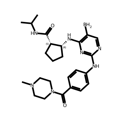 Bc1cnc(Nc2ccc(C(=O)N3CCN(C)CC3)cc2)nc1N[C@@H]1CCC[C@@H]1C(=O)NC(C)C